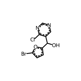 OC(c1ccc(Br)o1)c1cncnc1Cl